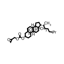 CC(C)CCCC(C)[C@H]1CC[C@H]2[C@@H]3CC=C4C[C@@H](OC(=O)OCC5CO5)CC[C@]4(C)[C@H]3CC[C@]12C